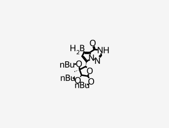 Bc1cc([C@@H]2OC(OCCCC)[C@@H](OCCCC)[C@@]2(C)OCCCC)n2nc[nH]c(=O)c12